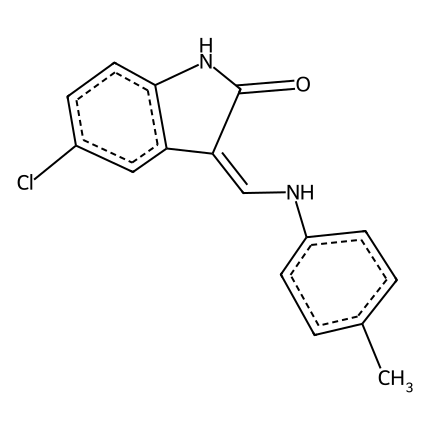 Cc1ccc(NC=C2C(=O)Nc3ccc(Cl)cc32)cc1